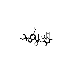 CCC(CC)N1C=CC2C(C(=O)NCc3c(C)cc(C)[nH]c3=O)=CC(C#N)=CC21